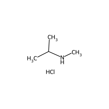 CNC(C)C.Cl